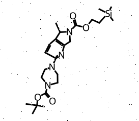 CC1c2ccc(N3CCN(C(=O)OC(C)(C)C)CC3)nc2CN1C(=O)OCC[Si](C)(C)C